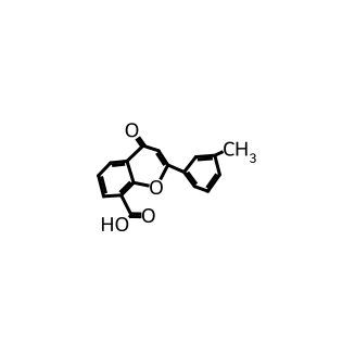 Cc1cccc(-c2cc(=O)c3cccc(C(=O)O)c3o2)c1